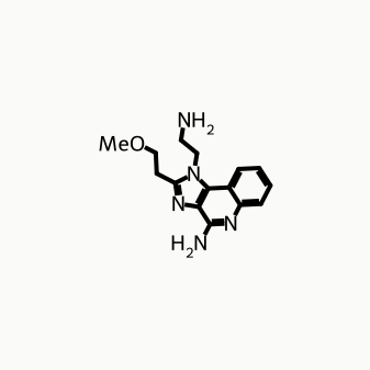 COCCc1nc2c(N)nc3ccccc3c2n1CCN